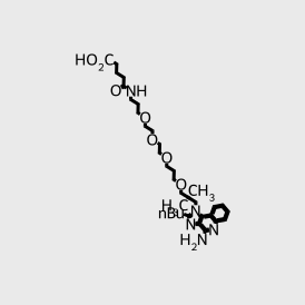 CCCCc1nc2c(N)nc3ccccc3c2n1CC(C)(C)COCCCOCCOCCOCCCNC(=O)CCCC(=O)O